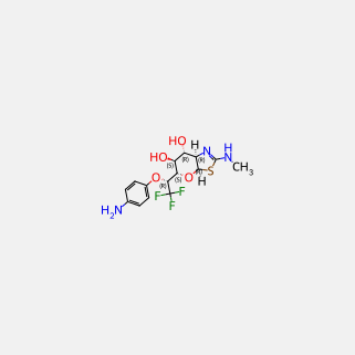 CNC1=N[C@@H]2[C@@H](O)[C@H](O)[C@@H]([C@@H](Oc3ccc(N)cc3)C(F)(F)F)O[C@@H]2S1